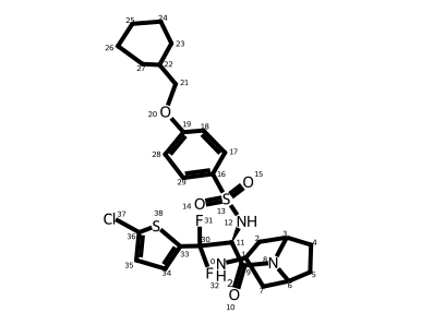 NC1CC2CCC(C1)N2C(=O)[C@H](NS(=O)(=O)c1ccc(OCC2CCCCC2)cc1)C(F)(F)c1ccc(Cl)s1